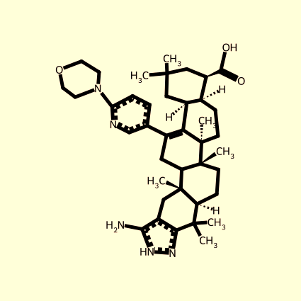 CC1(C)C[C@@H]2C3=C(c4ccc(N5CCOCC5)nc4)CC4[C@@]5(C)Cc6c(n[nH]c6N)C(C)(C)[C@@H]5CC[C@@]4(C)[C@]3(C)CC[C@@H]2[C@H](C(=O)O)C1